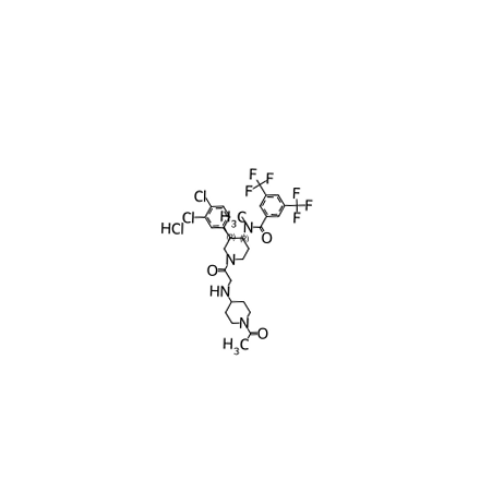 CC(=O)N1CCC(NCC(=O)N2CC[C@@H](N(C)C(=O)c3cc(C(F)(F)F)cc(C(F)(F)F)c3)[C@H](c3ccc(Cl)c(Cl)c3)C2)CC1.Cl